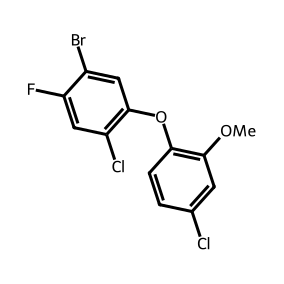 COc1cc(Cl)ccc1Oc1cc(Br)c(F)cc1Cl